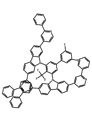 Fc1cc(F)cc(-c2cc(-n3c4cc(-c5ccnc(-c6ccccc6)c5)ccc4c4ccc(-c5ccnc(-c6ccccc6)c5)cc43)c(C(F)(F)F)c(-n3c4cc(-c5ccnc(-c6ccccc6)c5)ccc4c4ccc(-c5ccnc(-c6ccccc6)c5)cc43)c2)c1